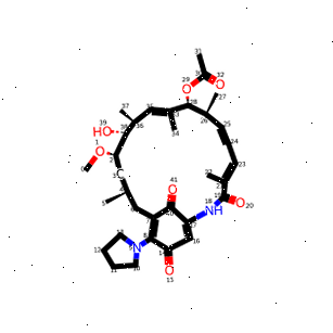 CO[C@H]1C[C@H](C)CC2=C(N3CCCC3)C(=O)C=C(NC(=O)/C(C)=C/C=C\[C@H](C)[C@@H](OC(C)=O)/C(C)=C/[C@H](C)[C@H]1O)C2=O